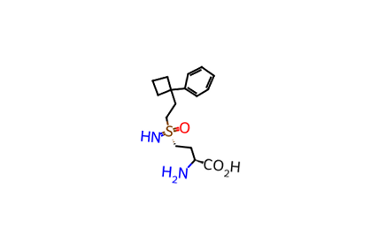 N=[S@@](=O)(CC[C@H](N)C(=O)O)CCC1(c2ccccc2)CCC1